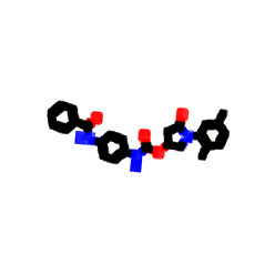 Cc1ccc(C)c(N2CC(OC(=O)Nc3ccc(NC(=O)c4ccccc4)cc3)CC2=O)c1